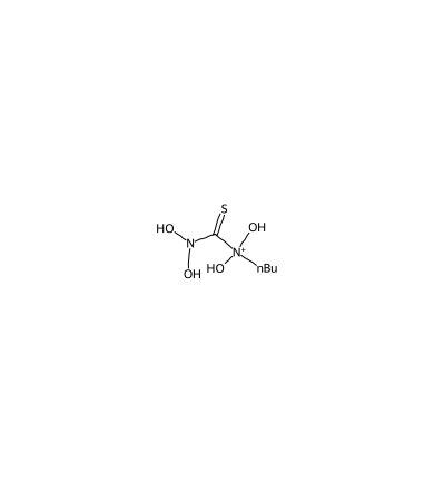 CCCC[N+](O)(O)C(=S)N(O)O